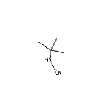 CC(C)(C)BC#N